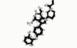 C=CC(=O)N1CCCC(n2cc(-c3ccc(Oc4c(F)cccc4F)cc3)c3c2C(C=O)NN=C3N)C1